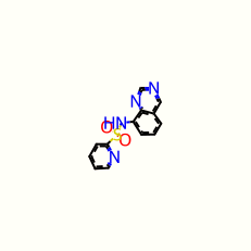 O=S(=O)(Nc1cccc2cncnc12)c1ccccn1